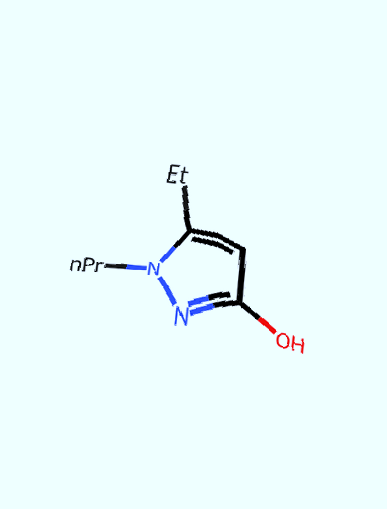 CCCn1nc(O)cc1CC